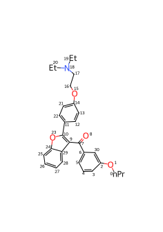 CCCOc1cccc(C(=O)c2c(-c3ccc(OCCN(CC)CC)cc3)oc3ccccc23)c1